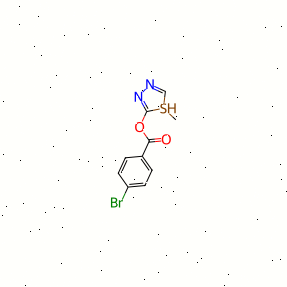 C[SH]1C=NN=C1OC(=O)c1ccc(Br)cc1